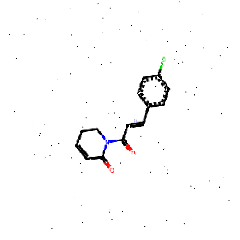 O=C1C=CCCN1C(=O)/C=C/c1ccc(Cl)cc1